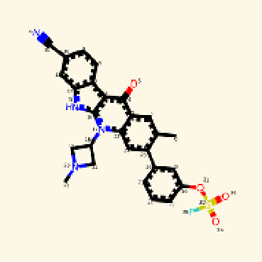 Cc1cc2c(=O)c3c4ccc(C#N)cc4[nH]c3n(C3CN(C)C3)c2cc1-c1cccc(OS(=O)(=O)F)c1